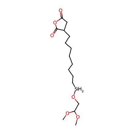 COC(CO[SiH2]CCCCCCCCC1CC(=O)OC1=O)OC